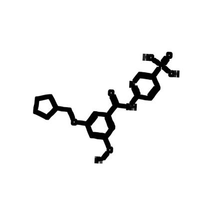 CC(C)Oc1cc(OCC2CCCC2)cc(C(=O)Nc2ccc(P(=O)(O)O)cn2)c1